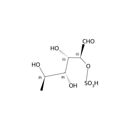 C[C@@H](O)[C@@H](O)[C@H](O)[C@@H](C=O)OS(=O)(=O)O